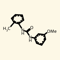 COc1cccc(NC(=O)Nc2ccccc2C)c1